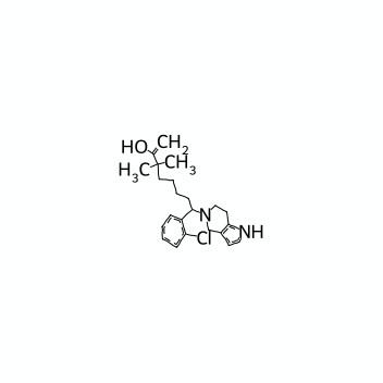 C=C(O)C(C)(C)CCCCC(c1ccccc1Cl)N1CCc2[nH]ccc2C1